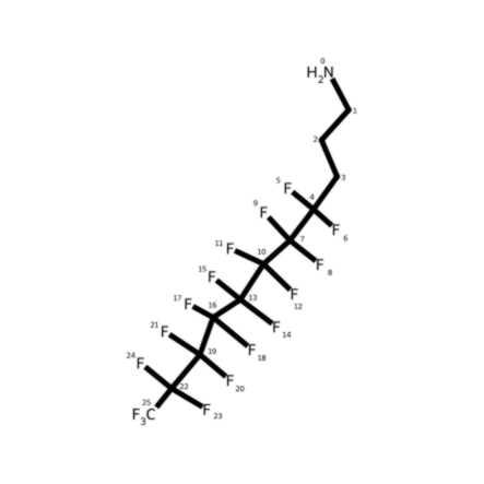 NCCCC(F)(F)C(F)(F)C(F)(F)C(F)(F)C(F)(F)C(F)(F)C(F)(F)C(F)(F)F